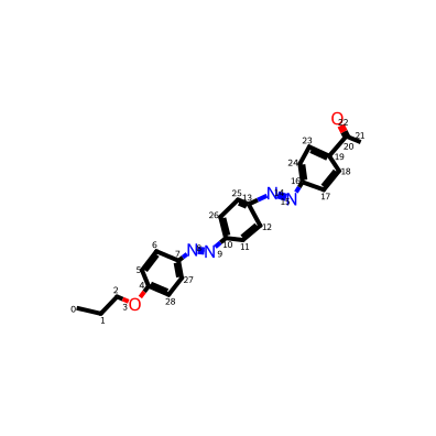 CCCOc1ccc(N=Nc2ccc(N=Nc3ccc(C(C)=O)cc3)cc2)cc1